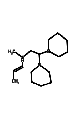 CC=C[SiH](C)CC(N1CCCCC1)N1CCCCC1